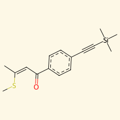 CS/C(C)=C\C(=O)c1ccc(C#C[Si](C)(C)C)cc1